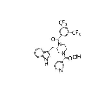 Cl.O=C(c1cccnc1)N1CCN(C(=O)c2cc(C(F)(F)F)cc(C(F)(F)F)c2)[C@H](Cc2c[nH]c3ccccc23)C1